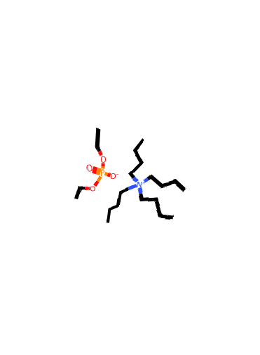 CCCC[N+](CCCC)(CCCC)CCCC.CCOP(=O)([O-])OCC